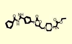 CCOC(=O)[C@@H](C)N1CCN(CC2CN(c3ccc(C(=N)NC(=O)c4ccccc4)cc3)C(=O)O2)CC1